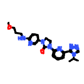 COCCCNc1ccc(N2CCN(c3cccc(-c4nncn4C(C)C)n3)C2=O)cn1